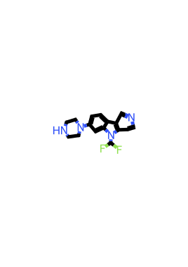 FC(F)n1c2ccncc2c2ccc(N3CCNCC3)cc21